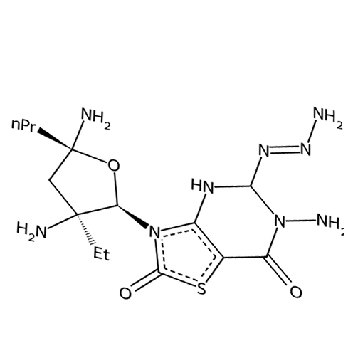 CCC[C@]1(N)C[C@@](N)(CC)[C@H](n2c3c(sc2=O)C(=O)N(N)C(N=NN)N3)O1